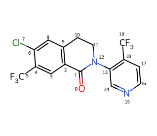 O=C1c2cc(C(F)(F)F)c(Cl)cc2CCN1c1cnccc1C(F)(F)F